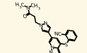 CN(C)C(=O)CCn1cc(-c2cc(Sc3ccccc3C#N)c3c(C#N)cnn3c2)cn1